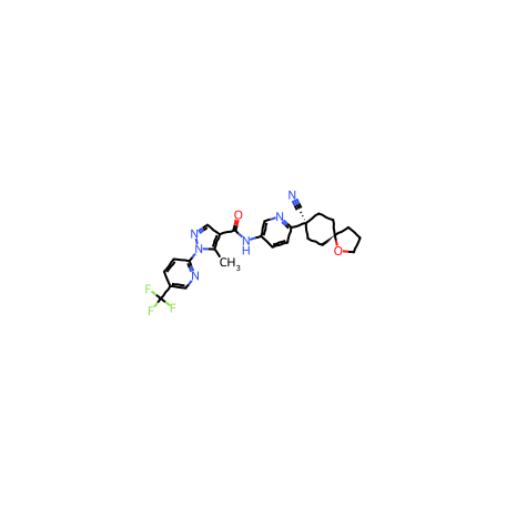 Cc1c(C(=O)Nc2ccc([C@]3(C#N)CC[C@]4(CCCO4)CC3)nc2)cnn1-c1ccc(C(F)(F)F)cn1